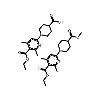 CCOC(=O)c1c(C)cc(N2CCC(C(=O)O)CC2)nc1C.CCOC(=O)c1c(C)cc(N2CCC(C(=O)OC)CC2)nc1C